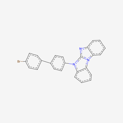 Brc1ccc(-c2ccc(-n3c4ccccc4n4c5ccccc5nc34)cc2)cc1